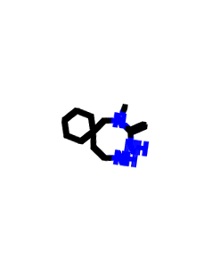 C=C1NNCCC2(CCCCC2)CN1C